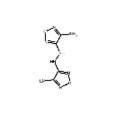 Nc1nonc1NNc1nonc1N